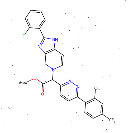 CCCCCCOC(=O)C(c1ccc(-c2ccc(C(F)(F)F)cc2C(F)(F)F)nn1)N1C=Cc2[nH]c(-c3ccccc3F)nc2C1